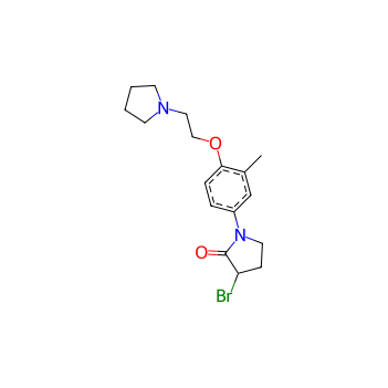 Cc1cc(N2CCC(Br)C2=O)ccc1OCCN1CCCC1